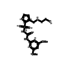 COc1cc(OC)nc(NC(=O)NS(=O)(=O)c2sccc2COCCCl)n1